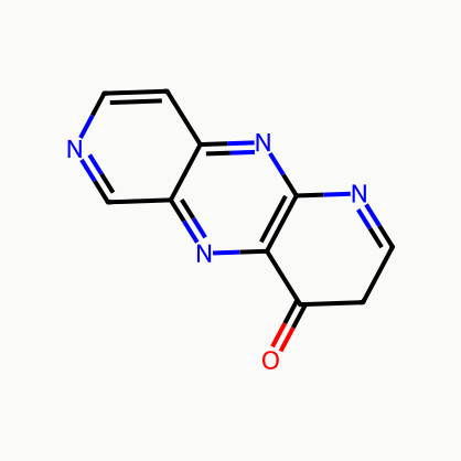 O=C1CC=Nc2nc3ccncc3nc21